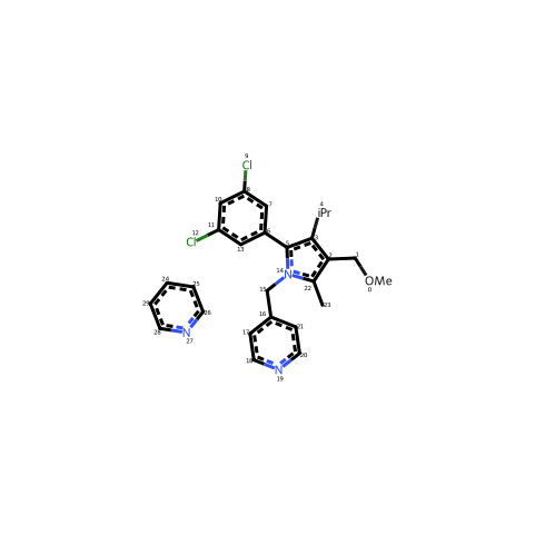 COCc1c(C(C)C)c(-c2cc(Cl)cc(Cl)c2)n(Cc2ccncc2)c1C.c1ccncc1